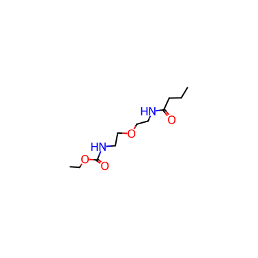 CCCC(=O)NCCOCCNC(=O)OCC